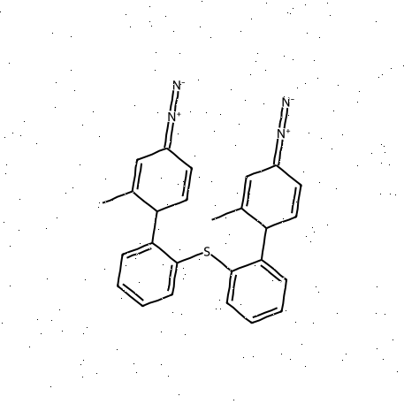 CC1=CC(=[N+]=[N-])C=CC1c1ccccc1Sc1ccccc1C1C=CC(=[N+]=[N-])C=C1C